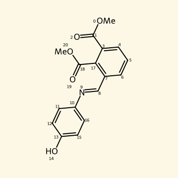 COC(=O)c1cccc(C=Nc2ccc(O)cc2)c1C(=O)OC